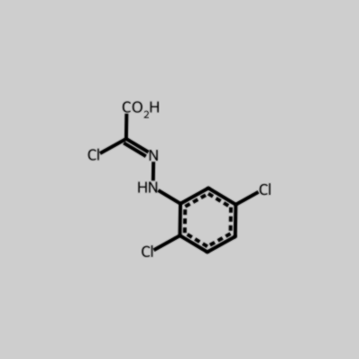 O=C(O)C(Cl)=NNc1cc(Cl)ccc1Cl